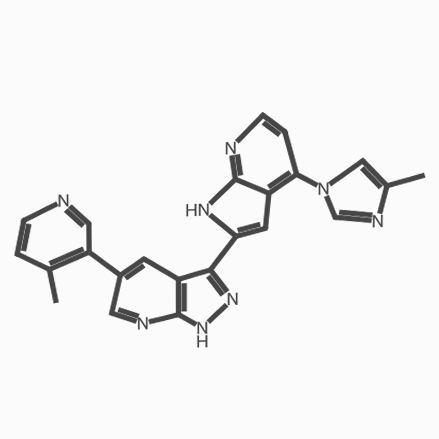 Cc1cn(-c2ccnc3[nH]c(-c4n[nH]c5ncc(-c6cnccc6C)cc45)cc23)cn1